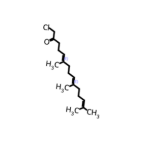 CC(C)=CCC/C(C)=C/CC/C(C)=C/CCC(=O)CCl